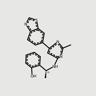 Cc1nc(N[C@@H](C)c2ccccc2O)cc(-c2ccc3ncsc3c2)n1